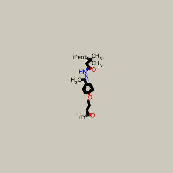 CCCC(C)C(C)(C)CC(=O)N/N=C(\C)c1ccc(OCCCC(=O)C(C)C)cc1